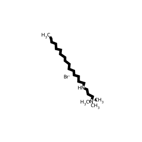 CCCCCCCCCCCCCCCCNCCC[N+](C)(C)C.[Br-]